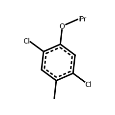 Cc1cc(Cl)c(OC(C)C)cc1Cl